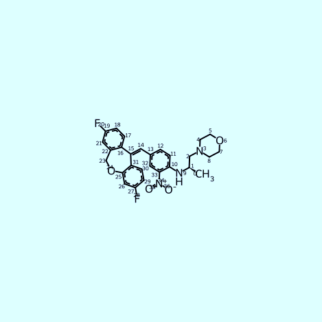 C[C@H](CN1CCOCC1)Nc1ccc(C=C2c3ccc(F)cc3COc3cc(F)ccc32)cc1[N+](=O)[O-]